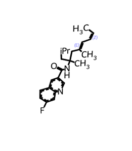 C/C=C\C=C(/C)CC(C)(CC(C)C)NC(=O)c1cnc2cc(F)ccc2c1